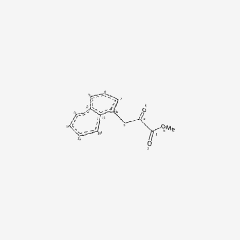 COC(=O)C(=O)Cc1cccc2ccccc12